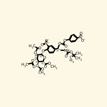 COC(=O)[C@H]1O[C@@H](Oc2ccc([C@@H](CNC(=O)OC(C)(C)C)OC(=O)Oc3ccc([N+](=O)[O-])cc3)cc2[N+](=O)[O-])[C@H](OC(C)=O)[C@@H](OC(C)=O)[C@@H]1OC(C)=O